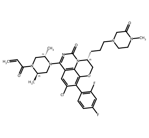 C=CC(=O)N1C[C@H](C)N(c2nc(=O)n3c4c(c(-c5ccc(F)cc5F)c(Cl)cc24)OC[C@H]3CCCN2CCN(C)C(=O)C2)C[C@H]1C